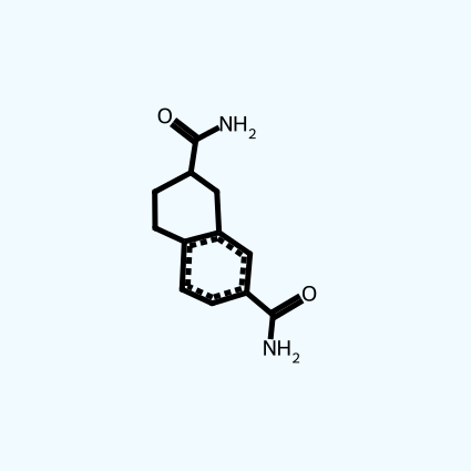 NC(=O)c1ccc2c(c1)CC(C(N)=O)CC2